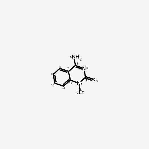 CCn1c(=S)nc(N)c2ccccc21